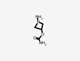 NC(=O)OC1CN(N)C1